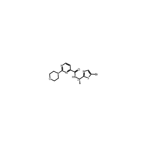 C[C@@H](NC(=O)c1ccnc(N2CCOCC2)n1)c1ncc(Br)s1